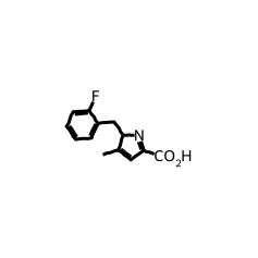 CC1=CC(C(=O)O)=NC1Cc1ccccc1F